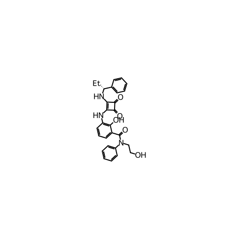 CC[C@@H](Nc1c(Nc2cccc(C(=O)N(CCO)c3ccccc3)c2O)c(=O)c1=O)c1ccccc1